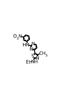 CCNc1nc(C)c(-c2ccnc(Nc3cccc([N+](=O)[O-])c3)n2)s1